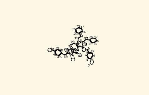 COc1ccc(COC(=O)C2=C(N(CCc3ccccc3)CCc3ccccc3)CS[C@@H]3C(NC(=O)Cc4ccc(Cl)cc4)C(=O)N23)cc1